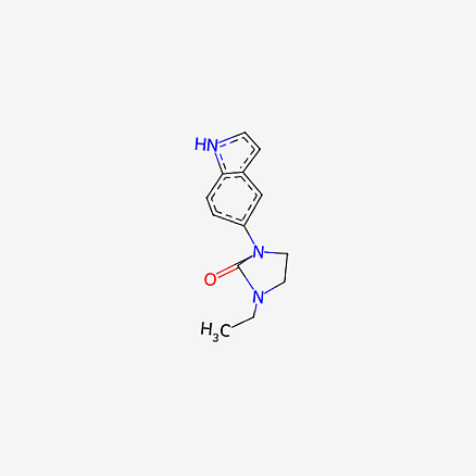 CCN1CCN(c2ccc3[nH]ccc3c2)C1=O